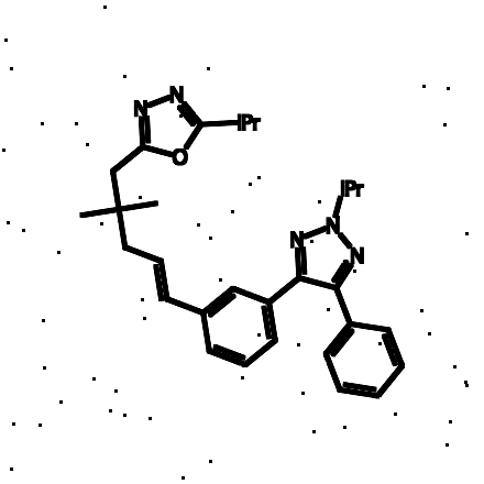 CC(C)c1nnc(CC(C)(C)C/C=C/c2cccc(-c3nn(C(C)C)nc3-c3ccccc3)c2)o1